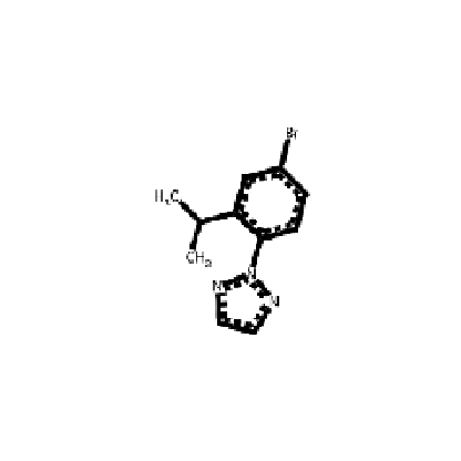 CC(C)c1cc(Br)ccc1-n1nccn1